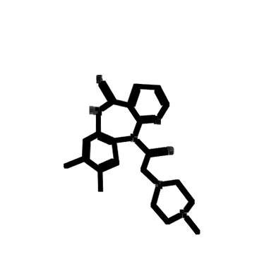 Cc1cc2c(cc1C)N(C(=O)CN1CCN(C)CC1)c1ncccc1C(=S)N2